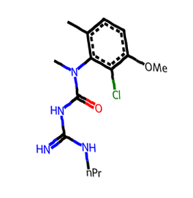 CCCNC(=N)NC(=O)N(C)c1c(C)ccc(OC)c1Cl